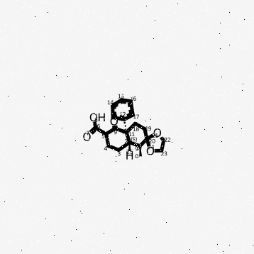 C[C@H]1[C@@H]2CCC(C(=O)O)C(=O)[C@@]2(c2ccccc2)CCC12OCCO2